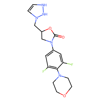 O=C1OC(CN2C=CNN2)CN1c1cc(F)c(N2CCOCC2)c(F)c1